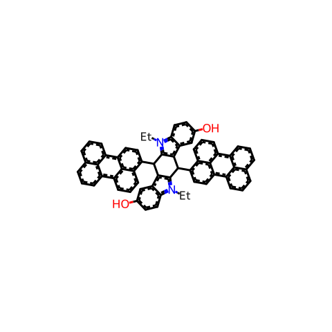 CCn1c2c(c3cc(O)ccc31)C(c1ccc3c4cccc5cccc(c6cccc1c63)c54)c1c(c3cc(O)ccc3n1CC)C2c1ccc2c3cccc4cccc(c5cccc1c52)c43